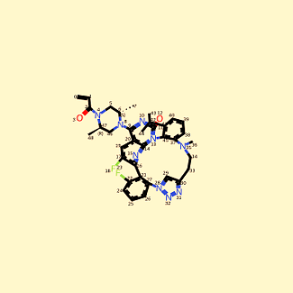 C=CC(=O)N1C[C@H](C)N(c2nc(=O)n3c4nc(c(F)cc24)-c2c(F)cccc2-n2cc(nn2)CCN(C)c2cccc(C(C)C)c2-3)C[C@H]1C